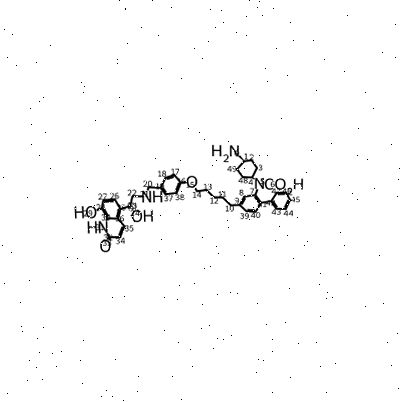 N[C@H]1CC[C@H](N(C(=O)O)c2cc(CCCCCOc3ccc(CNC[C@H](O)c4ccc(O)c5[nH]c(=O)ccc45)cc3)ccc2-c2ccccc2)CC1